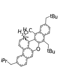 Cc1c2c(c(CC(C)(C)C)c3ccc(CC(C)(C)C)cc13)Oc1cc3ccc(CC(C)C)cc3c3cc[n+](C)c-2c13